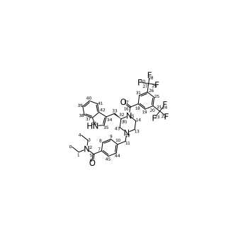 CCN(CC)C(=O)c1ccc(CN2CCN(C(=O)c3cc(C(F)(F)F)cc(C(F)(F)F)c3)[C@H](Cc3c[nH]c4ccccc34)C2)cc1